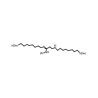 CCCCCCCCCCCCCCCCCC/N=C(/CCNCCCCCCCCCCCCCCCCCC)NC(C)C